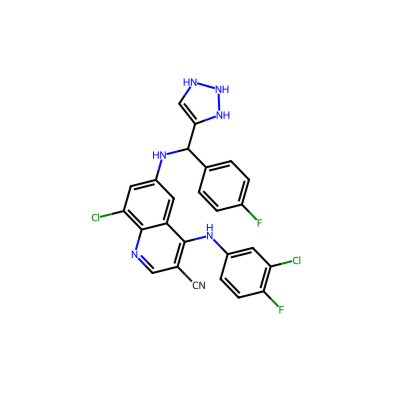 N#Cc1cnc2c(Cl)cc(NC(C3=CNNN3)c3ccc(F)cc3)cc2c1Nc1ccc(F)c(Cl)c1